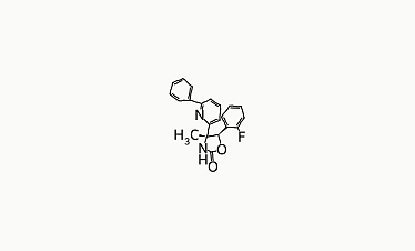 C[C@]1(c2cccc(-c3ccccc3)n2)NC(=O)O[C@@H]1c1ccccc1F